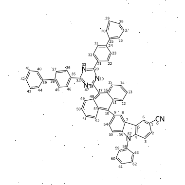 N#Cc1ccc2c(c1)c1cc(-c3c4ccccc4c(-c4nc(-c5ccc(-c6ccccc6)cc5)nc(-c5ccc(-c6ccccc6)cc5)n4)c4ccccc34)ccc1n2-c1ccccc1